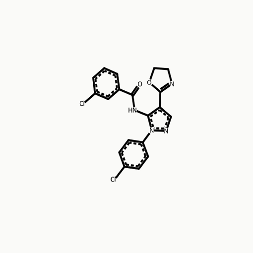 O=C(Nc1c(C2=NCCO2)cnn1-c1ccc(Cl)cc1)c1cccc(Cl)c1